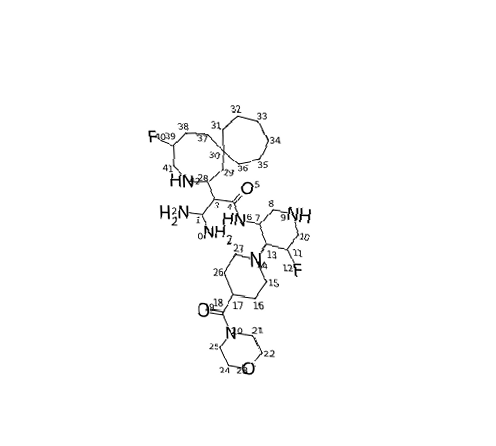 NC(N)C(C(=O)NC1CNCC(F)C1N1CCC(C(=O)N2CCOCC2)CC1)C1CC2(CCCCCC2)CCC(F)CN1